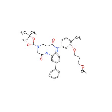 COCCCOc1cc(NC(=O)C2CN(C(=O)OC(C)(C)C)CC(=O)N2c2cccc(-c3ccccc3)c2)ccc1C